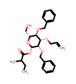 C=CCO[C@@H]1[C@H](OCc2ccccc2)[C@H](OC(=O)C(C)CC)O[C@H](CO)[C@H]1OCc1ccccc1